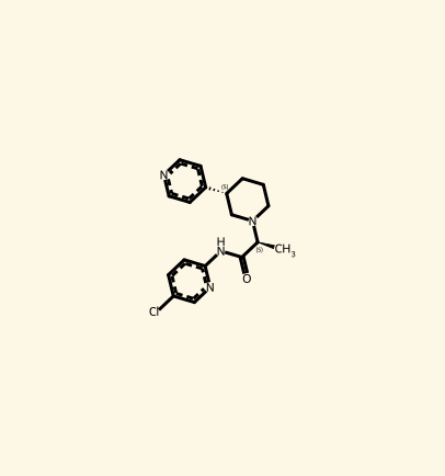 C[C@@H](C(=O)Nc1ccc(Cl)cn1)N1CCC[C@@H](c2ccncc2)C1